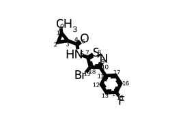 CC1CC1C(=O)Nc1snc(-c2ccc(F)cc2)c1Br